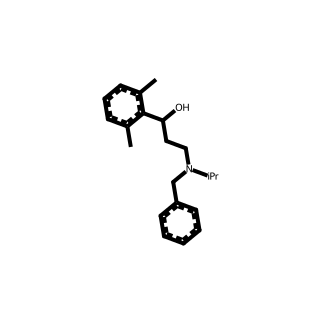 Cc1cccc(C)c1C(O)CCN(Cc1ccccc1)C(C)C